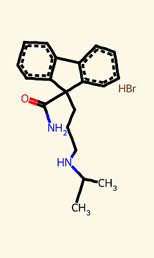 Br.CC(C)NCCCC1(C(N)=O)c2ccccc2-c2ccccc21